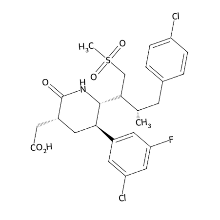 C[C@@H](Cc1ccc(Cl)cc1)C(CS(C)(=O)=O)[C@H]1NC(=O)[C@@H](CC(=O)O)C[C@@H]1c1cc(F)cc(Cl)c1